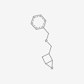 c1ccc(COCC2CC3OC23)cc1